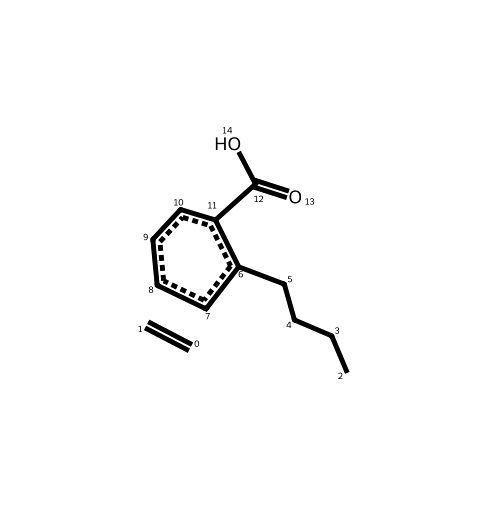 C=C.CCCCc1ccccc1C(=O)O